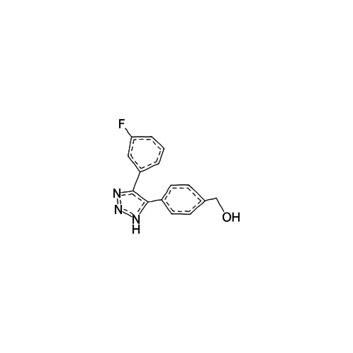 OCc1ccc(-c2[nH]nnc2-c2cccc(F)c2)cc1